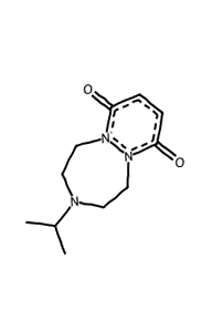 CC(C)N1CCn2c(=O)ccc(=O)n2CC1